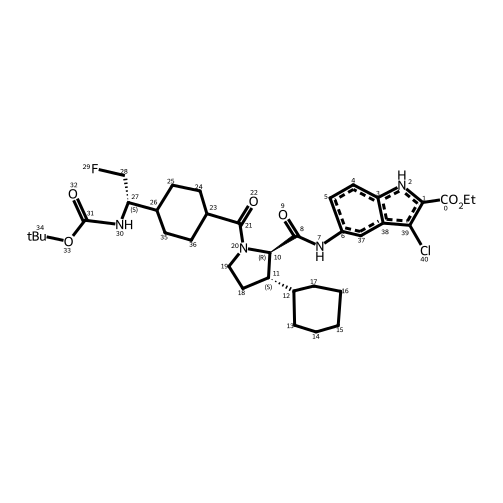 CCOC(=O)c1[nH]c2ccc(NC(=O)[C@H]3[C@H](C4CCCCC4)CCN3C(=O)C3CCC([C@@H](CF)NC(=O)OC(C)(C)C)CC3)cc2c1Cl